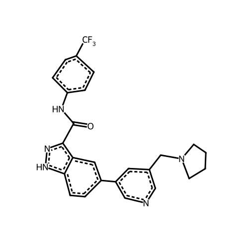 O=C(Nc1ccc(C(F)(F)F)cc1)c1n[nH]c2ccc(-c3cncc(CN4CCCC4)c3)cc12